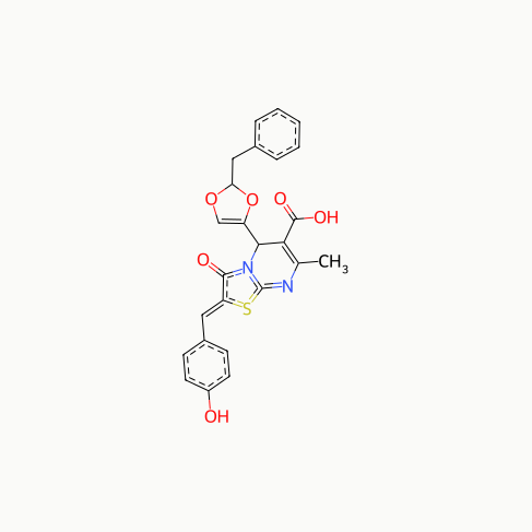 CC1=C(C(=O)O)C(C2=COC(Cc3ccccc3)O2)n2c(sc(=Cc3ccc(O)cc3)c2=O)=N1